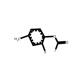 Cc1ccc(OC(=O)I)c(F)c1